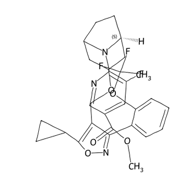 COC(=O)c1cnc(N2C3CC[C@H]2CC(OCc2c(-c4ccccc4OC(F)(F)F)noc2C2CC2)C3)c(C)c1